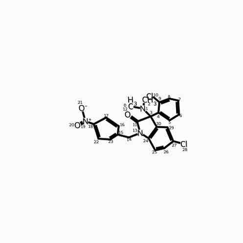 CN(C)C1(c2ccccc2Cl)C(=O)N(Cc2ccc([N+](=O)[O-])cc2)c2ccc(Cl)cc21